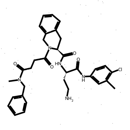 Cc1cc(NC(=O)[C@H](CCN)NC(=O)[C@@H]2Cc3ccccc3CN2C(=O)CCC(=O)N(C)Cc2ccccc2)ccc1Cl